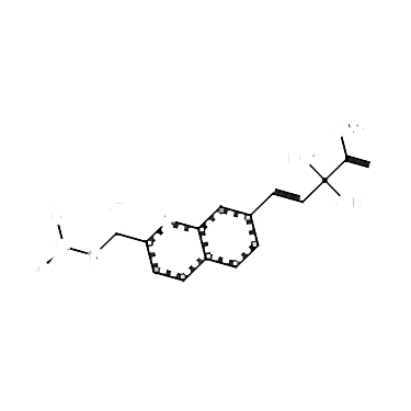 COC(=O)C(C)(C)/C=C/c1ccc2ccc([C@@H](C)N[S@+]([O-])C(C)(C)C)nc2c1